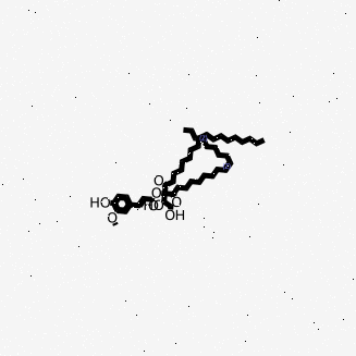 CCCCCCCC/C=C\CCCCCCCC(=O)C(OC(=O)C=Cc1ccc(O)c(OC)c1)(C(=O)CCCCCCC/C=C\CCCCCCCC)C(O)CO